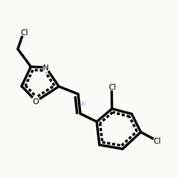 ClCc1coc(/C=C/c2ccc(Cl)cc2Cl)n1